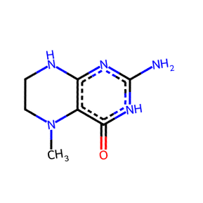 CN1CCNc2nc(N)[nH]c(=O)c21